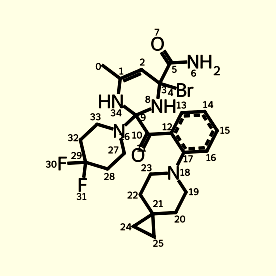 CC1=CC(Br)(C(N)=O)NC(C(=O)c2ccccc2N2CCC3(CC2)CC3)(N2CCC(F)(F)CC2)N1